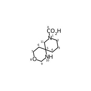 O=C(O)N1CCCC2(CCOCN2)C1